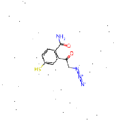 [N-]=[N+]=NCC(=O)c1cc(S)ccc1C(N)=O